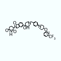 O=C1CCC(N2Cc3cc(C4(O)CCN(Cc5ccc(N6CCC(Oc7cccc(C(F)(F)F)n7)CC6)cc5)CC4)ccc3C2=O)C(=O)N1